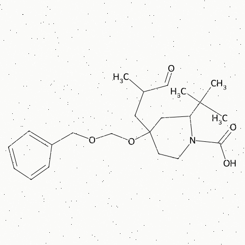 CC(C=O)CC1(OCOCc2ccccc2)CCN(C(=O)O)C(C(C)(C)C)C1